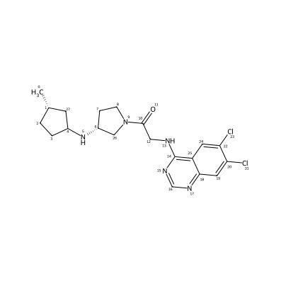 C[C@H]1CCC(N[C@@H]2CCN(C(=O)CNc3ncnc4cc(Cl)c(Cl)cc34)C2)C1